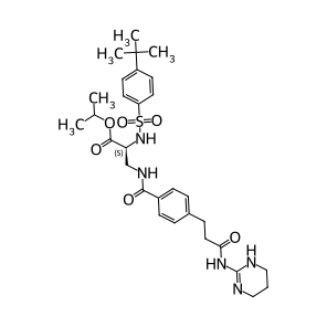 CC(C)OC(=O)[C@H](CNC(=O)c1ccc(CCC(=O)NC2=NCCCN2)cc1)NS(=O)(=O)c1ccc(C(C)(C)C)cc1